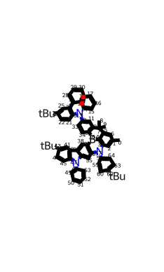 Cc1cc2c3c(c1)C(C)(C)c1cc(N(c4ccccc4)c4ccc(C(C)(C)C)cc4-c4ccccc4)ccc1B3c1cc3c4cc(C(C)(C)C)ccc4n(-c4ccccc4)c3cc1N2c1ccc(C(C)(C)C)cc1